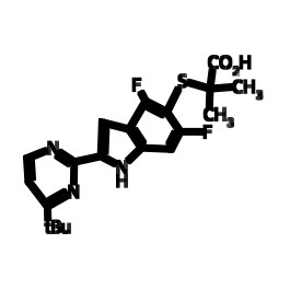 CC(C)(Sc1c(F)cc2[nH]c(-c3nccc(C(C)(C)C)n3)cc2c1F)C(=O)O